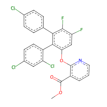 COC(=O)c1cccnc1Oc1cc(F)c(F)c(-c2ccc(Cl)cc2)c1-c1ccc(Cl)cc1Cl